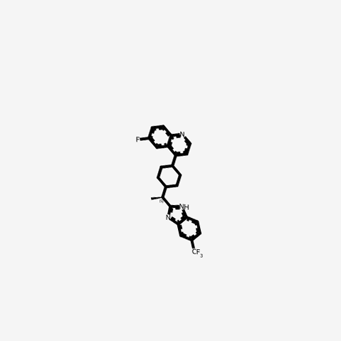 C[C@H](c1nc2cc(C(F)(F)F)ccc2[nH]1)C1CCC(c2ccnc3ccc(F)cc23)CC1